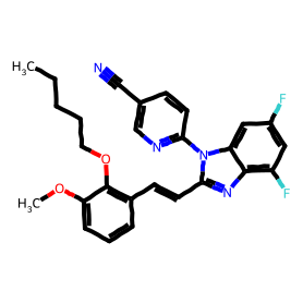 CCCCCOc1c(C=Cc2nc3c(F)cc(F)cc3n2-c2ccc(C#N)cn2)cccc1OC